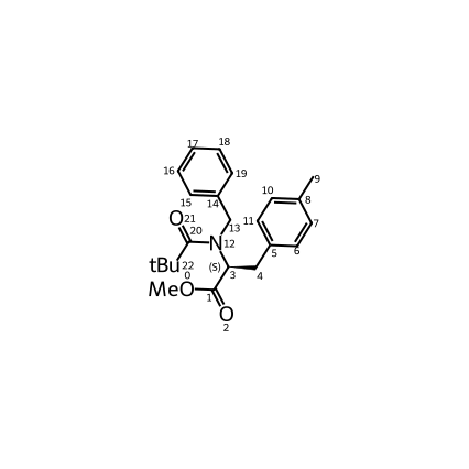 COC(=O)[C@H](Cc1ccc(C)cc1)N(Cc1ccccc1)C(=O)C(C)(C)C